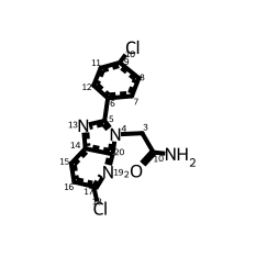 NC(=O)Cn1c(-c2ccc(Cl)cc2)nc2ccc(Cl)nc21